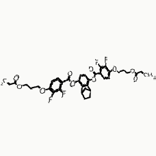 C=CC(=O)OCCCOc1ccc(C(=O)Oc2ccc(OC(=O)c3ccc(OCCCOC(=O)C=C)c(F)c3F)c3c2C2CCC3C2)c(F)c1F